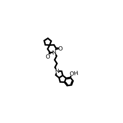 O=C1CC2(CCCC2)CC(=O)N1CCCCN1CC2Cc3cccc(O)c3C2C1